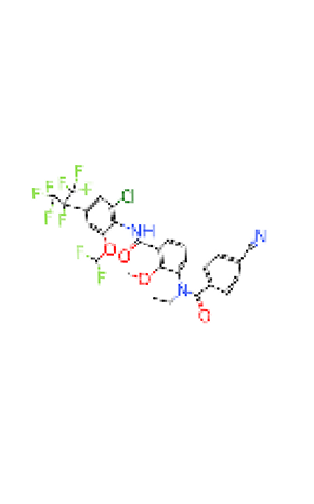 CCN(C(=O)c1ccc(C#N)cc1)c1cccc(C(=O)Nc2c(Cl)cc(C(F)(C(F)(F)F)C(F)(F)F)cc2OC(F)F)c1OC